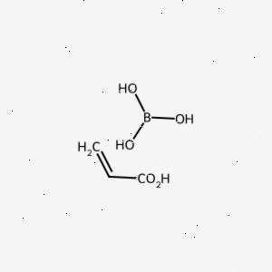 C=CC(=O)O.OB(O)O